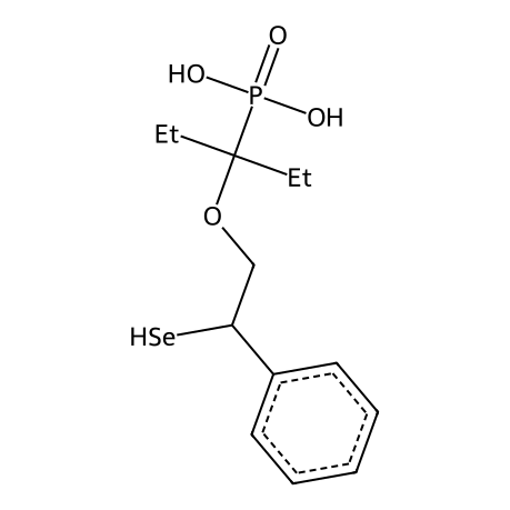 CCC(CC)(OCC([SeH])c1ccccc1)P(=O)(O)O